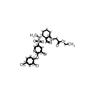 CCOC(=O)Cn1ncc2c1CCC[C@H]2N(C)S(=O)(=O)c1cnc(Oc2ccc(Cl)cc2Cl)c(Br)c1